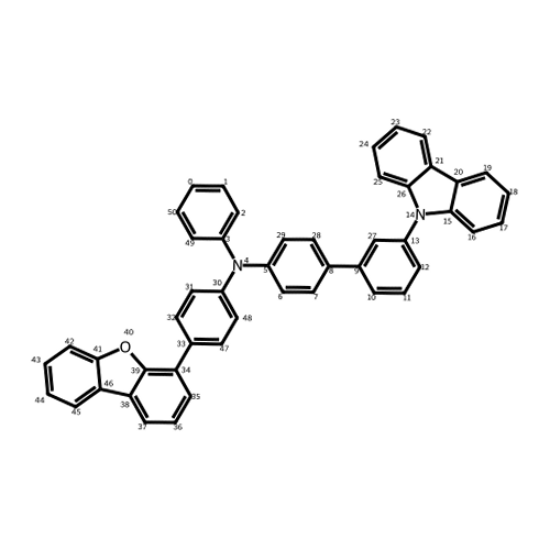 c1ccc(N(c2ccc(-c3cccc(-n4c5ccccc5c5ccccc54)c3)cc2)c2ccc(-c3cccc4c3oc3ccccc34)cc2)cc1